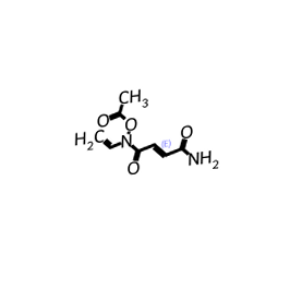 C=CN(OC(C)=O)C(=O)/C=C/C(N)=O